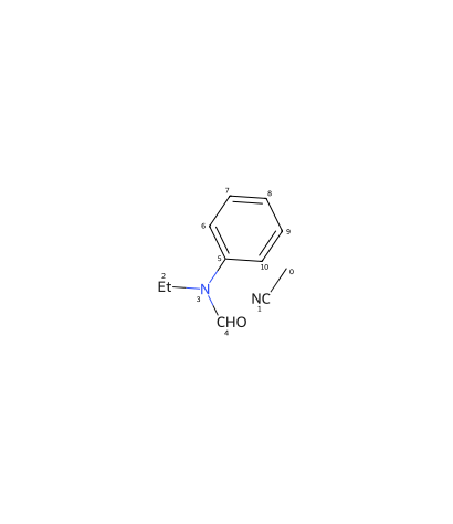 CC#N.CCN(C=O)c1ccccc1